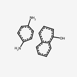 Nc1ccc(N)cc1.Oc1cccc2ccccc12